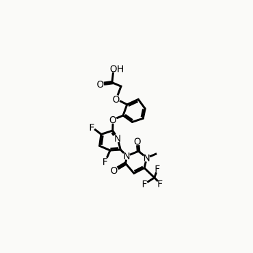 Cn1c(C(F)(F)F)cc(=O)n(-c2nc(Oc3ccccc3OCC(=O)O)c(F)cc2F)c1=O